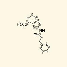 O=C(CCc1ccccc1)Nc1nc2c(s1)CCCC2C(=O)O